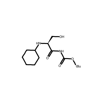 CC(C)(C)OC(=O)NC(=O)[C@H](CO)NC1CCCCC1